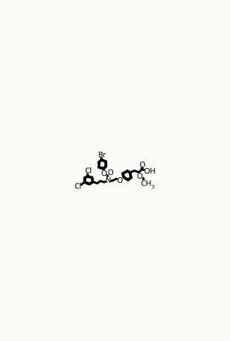 CCOC(Cc1ccc(OCCN(CCCc2cc(Cl)cc(Cl)c2)C(=O)Oc2ccc(Br)cc2)cc1)C(=O)O